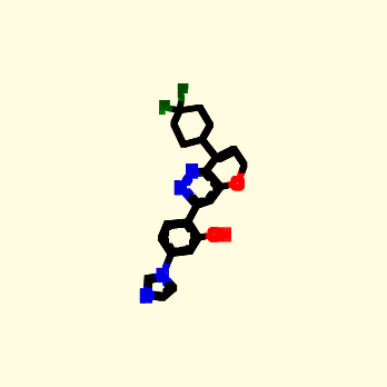 Oc1cc(-n2ccnc2)ccc1-c1cc2c(nn1)C(C1CCC(F)(F)CC1)=CCO2